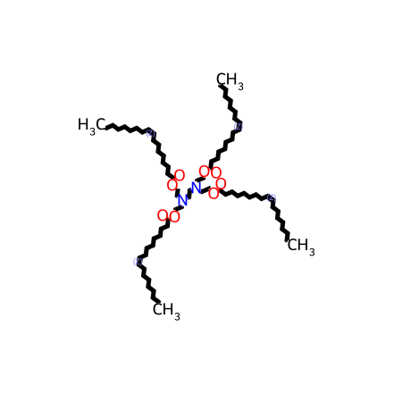 CCCCCCCC/C=C\CCCCCCCC(=O)OCCN(CCOC(=O)CCCCCCC/C=C\CCCCCCCC)CCN(CCOC(=O)CCCCCCC/C=C\CCCCCCCC)CCOC(=O)CCCCCCC/C=C\CCCCCCCC